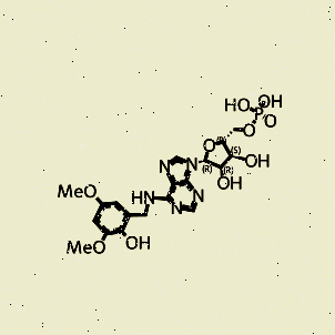 COc1cc(CNc2ncnc3c2ncn3[C@@H]2O[C@H](COP(=O)(O)O)[C@@H](O)[C@H]2O)c(O)c(OC)c1